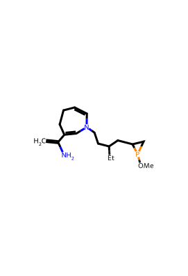 C=C(N)C1=CN(CCC(CC)CC2CP2OC)C=CCC1